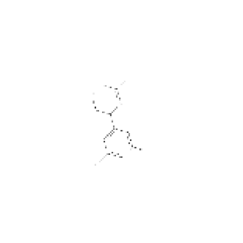 NC1=NC(c2cc(Br)cc(Br)c2)CCN1